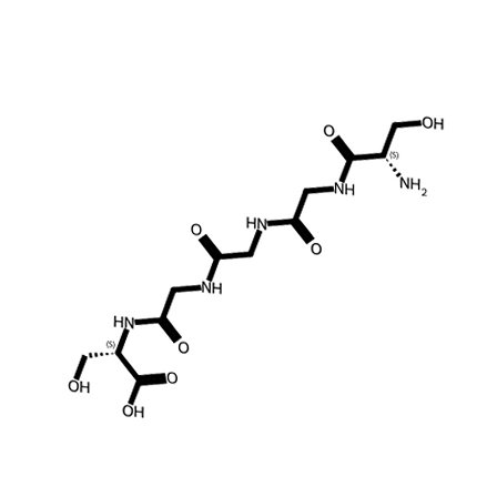 N[C@@H](CO)C(=O)NCC(=O)NCC(=O)NCC(=O)N[C@@H](CO)C(=O)O